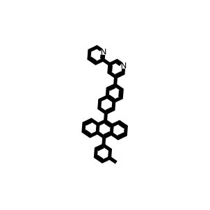 CC1C=CC=C(C2=c3ccccc3=C(C3=Cc4ccc(-c5cncc(C6=NCCC=C6)c5)cc4CC3)C3C=CC=CC23)C1